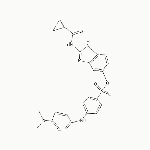 CN(C)c1ccc(Nc2ccc(S(=O)(=O)Oc3ccc4[nH]c(NC(=O)C5CC5)nc4c3)cc2)cc1